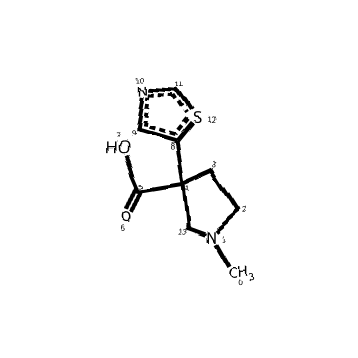 CN1CCC(C(=O)O)(c2cncs2)C1